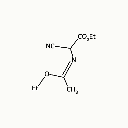 CCOC(=O)C(C#N)N=C(C)OCC